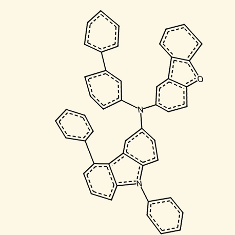 c1ccc(-c2cccc(N(c3ccc4oc5ccccc5c4c3)c3ccc4c(c3)c3c(-c5ccccc5)cccc3n4-c3ccccc3)c2)cc1